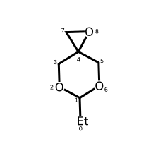 CCC1OCC2(CO1)CO2